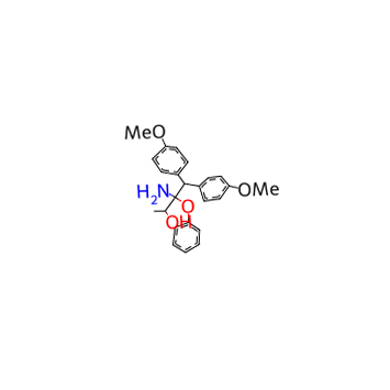 COc1ccc(C(c2ccc(OC)cc2)C(N)(Oc2ccccc2)C(C)O)cc1